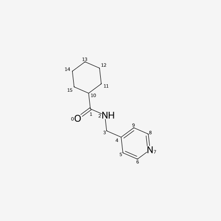 O=C(NCc1ccncc1)C1CCCCC1